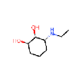 CCN[C@@H]1CCC[C@@H](O)[C@H]1O